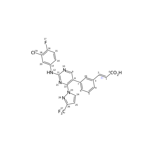 O=C(O)/C=C/c1cccc(-c2cnc(Nc3ccc(F)c(Cl)c3)nc2-n2ccc(C(F)(F)F)n2)c1